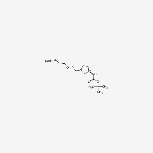 CC(C)(C)OC(=O)N[C@@H]1CCN(CCOCCN=[N+]=[N-])C1